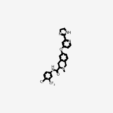 CN1Cc2ccc(Oc3ccnc(C4=NCCN4)c3)cc2CC1C(=O)Nc1ccc(Cl)c(C(F)(F)F)c1